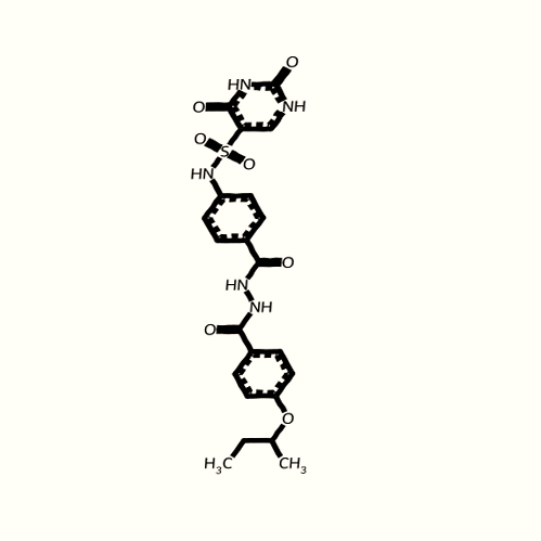 CCC(C)Oc1ccc(C(=O)NNC(=O)c2ccc(NS(=O)(=O)c3c[nH]c(=O)[nH]c3=O)cc2)cc1